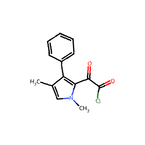 Cc1cn(C)c(C(=O)C(=O)Cl)c1-c1ccccc1